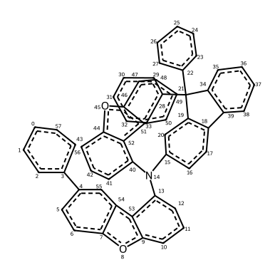 c1ccc(-c2ccc3oc4cccc(N(c5ccc6c(c5)C(c5ccccc5)(c5ccccc5)c5ccccc5-6)c5cccc6oc7ccccc7c56)c4c3c2)cc1